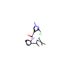 CC(CC(C)(C)C)c1ccccc1NC(=O)c1cn(C)nc1Cl